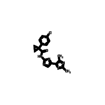 Cc1nc(C)c(-c2csc(NC(=O)C3(c4ccc(Cl)cc4)CC3)n2)s1